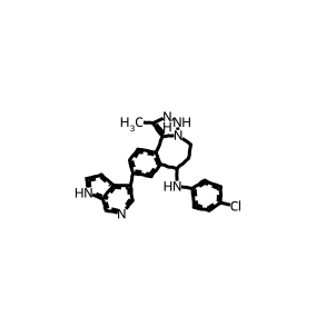 CC1=C2c3ccc(-c4cncc5[nH]ccc45)cc3C(Nc3ccc(Cl)cc3)CCN2NN1